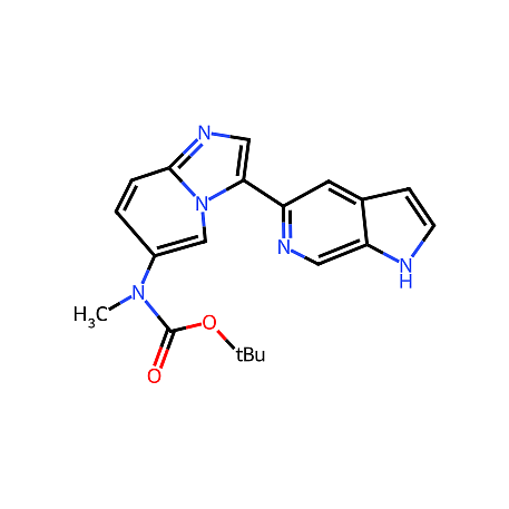 CN(C(=O)OC(C)(C)C)c1ccc2ncc(-c3cc4cc[nH]c4cn3)n2c1